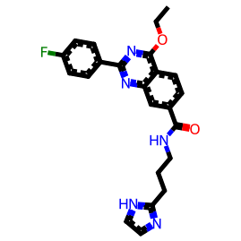 CCOc1nc(-c2ccc(F)cc2)nc2cc(C(=O)NCCCc3ncc[nH]3)ccc12